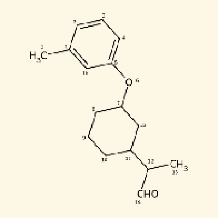 Cc1cccc(OC2CCCC(C(C)C=O)C2)c1